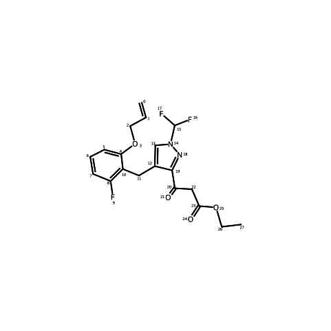 C=CCOc1cccc(F)c1Cc1cn(C(F)F)nc1C(=O)CC(=O)OCC